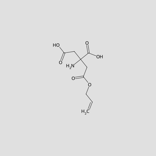 C=CCOC(=O)CC(N)(CC(=O)O)C(=O)O